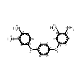 Nc1ccc(Oc2ccc(Oc3ccc(N)c(N)c3)cc2)cc1N